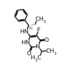 CC[C@H](Nc1[nH]c(=O)n(C(C)C)c(=O)c1F)c1ccccc1